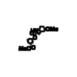 COC(=O)c1cccc(OC(=O)c2cc3cc(OC)ccc3[nH]2)c1